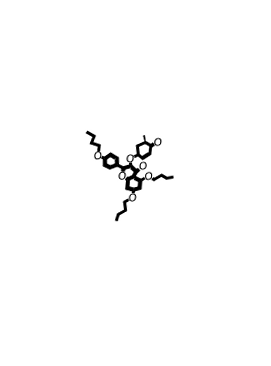 CCCCOc1ccc(-c2oc3cc(OCCCC)cc(OCCCC)c3c(=O)c2OC2C=CC(=O)[C@H](C)C2)cc1